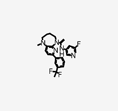 C=C(Nc1cncc(F)c1)N1CCCCN(C)c2ccc(-c3cccc(C(C)(F)F)c3)nc21